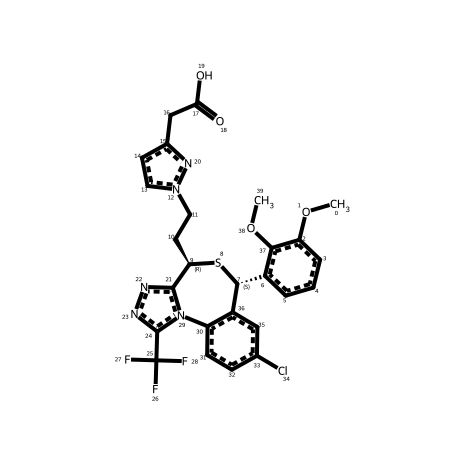 COc1cccc([C@H]2S[C@H](CCn3ccc(CC(=O)O)n3)c3nnc(C(F)(F)F)n3-c3ccc(Cl)cc32)c1OC